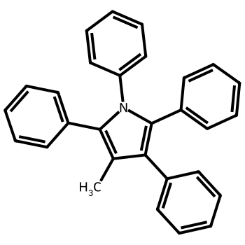 Cc1c(-c2ccccc2)c(-c2ccccc2)n(-c2ccccc2)c1-c1ccccc1